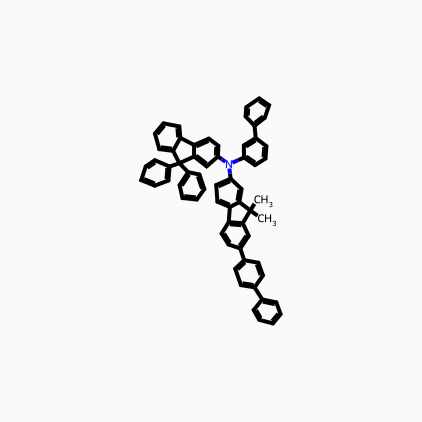 CC1(C)c2cc(-c3ccc(-c4ccccc4)cc3)ccc2-c2ccc(N(c3cccc(-c4ccccc4)c3)c3ccc4c(c3)C(c3ccccc3)(c3ccccc3)c3ccccc3-4)cc21